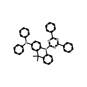 CC1(C)c2ccccc2N(c2nc(-c3ccccc3)nc(-c3ccccc3)n2)c2ccc(N(c3ccccc3)c3ccccc3)cc21